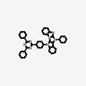 c1ccc(-c2nc(-c3ccccc3)nc(-c3ccc(-n4c5ccccc5c5c4n4c6ccccc6nc4n5-c4ccccc4)cc3)n2)cc1